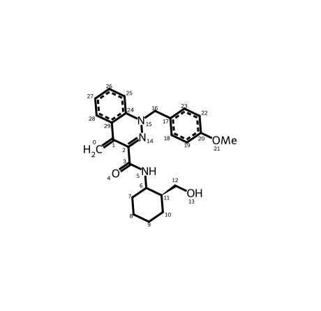 C=C1C(C(=O)NC2CCCC[C@@H]2CO)=NN(Cc2ccc(OC)cc2)c2ccccc21